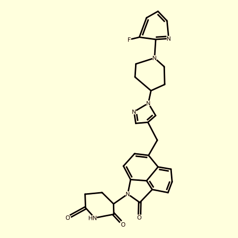 O=C1CCC(N2C(=O)c3cccc4c(Cc5cnn(C6CCN(c7ncccc7F)CC6)c5)ccc2c34)C(=O)N1